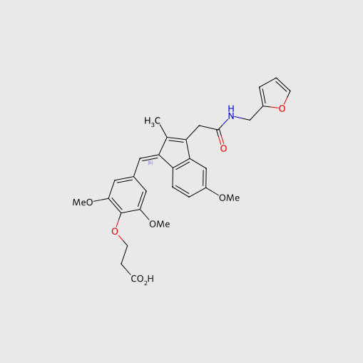 COc1ccc2c(c1)C(CC(=O)NCc1ccco1)=C(C)/C2=C/c1cc(OC)c(OCCC(=O)O)c(OC)c1